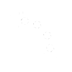 FC(F)(F)Oc1c(I)cc(-c2ccc(Cc3ccc(-c4cc(I)c(OC(F)(F)F)c(I)c4)c(I)c3)cc2I)cc1I